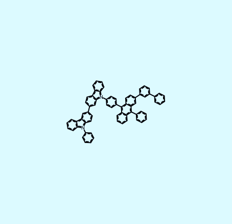 c1ccc(-c2cccc(-c3ccc4c(-c5ccc(-n6c7ccccc7c7ccc(-c8ccc9c(c8)c8ccccc8n9-c8ccccc8)cc76)cc5)c5ccccc5c(-c5ccccc5)c4c3)c2)cc1